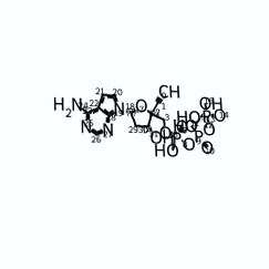 C#C[C@]1(COP(=O)(O)OP(=O)(O)OP(=O)(O)O)O[C@@H](n2ccc3c(N)ncnc32)C[C@@H]1O